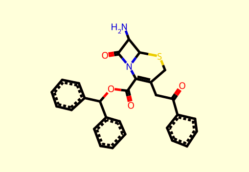 NC1C(=O)N2C(C(=O)OC(c3ccccc3)c3ccccc3)=C(CC(=O)c3ccccc3)CSC12